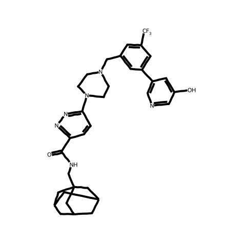 O=C(NCC12CC3CC(CC(C3)C1)C2)c1ccc(N2CCN(Cc3cc(-c4cncc(O)c4)cc(C(F)(F)F)c3)CC2)nn1